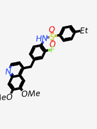 CCc1ccc(S(=O)(=O)Nc2ccc(Cc3ccnc4cc(OC)c(OC)cc34)cc2F)cc1